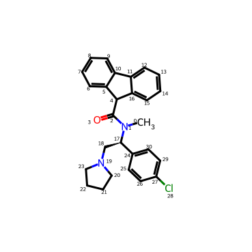 CN(C(=O)C1c2ccccc2-c2ccccc21)[C@H](CN1CCCC1)c1ccc(Cl)cc1